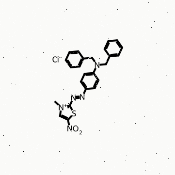 C[n+]1cc([N+](=O)[O-])sc1N=Nc1ccc(N(Cc2ccccc2)Cc2ccccc2)cc1.[Cl-]